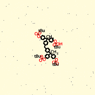 CC(C)(C)OC(=O)Oc1ccc(C(C)(c2ccc(Cc3ccc(C(C)(c4ccc(OC(=O)OC(C)(C)C)cc4)c4ccc(OC(O)OC(C)(C)C)cc4)cc3)cc2)c2ccc(OC(=O)OC(C)(C)C)cc2)cc1